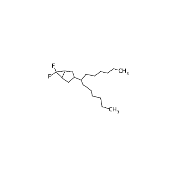 CCCCCCC(CCCCCC)C1CC2C(C1)C2(F)F